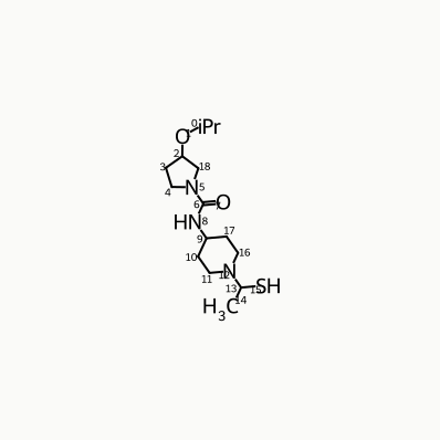 CC(C)OC1CCN(C(=O)NC2CCN(C(C)S)CC2)C1